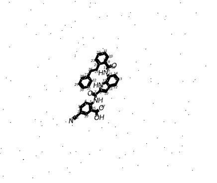 N#Cc1ccc(NC(=O)c2cc3cccc(NC(=O)c4ccccc4CCc4ccccc4)c3[nH]2)c(C(=O)O)c1